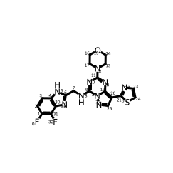 Fc1ccc2[nH]c(CNc3nc(N4CCOCC4)nc4c(-c5nccs5)cnn34)nc2c1F